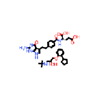 CC(C)(C)NC[C@H](O)COc1ccccc1C1CCCC1.Nc1nc(=O)c2c(CCc3ccc(C(=O)N[C@@H](CCC(=O)O)C(=O)O)cc3)c[nH]c2[nH]1